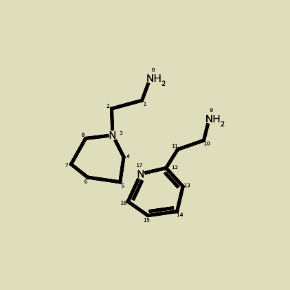 NCCN1CCCCC1.NCCc1ccccn1